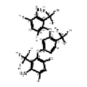 Nc1c(F)cc(F)c(Oc2ccc(C(F)(F)F)c(Oc3c(F)cc(F)c(N)c3C(F)(F)F)c2)c1C(F)(F)F